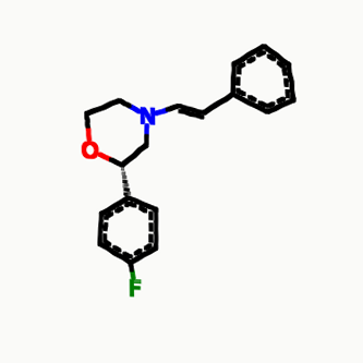 Fc1ccc([C@H]2CN(C=Cc3ccccc3)CCO2)cc1